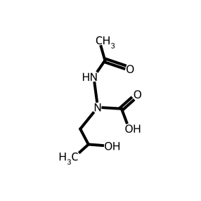 CC(=O)NN(CC(C)O)C(=O)O